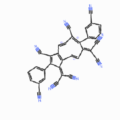 N#CC(C#N)=C1C2=C(/C=C/C(C#N)=C(/c3cccc(C#N)c3)C(=C(C#N)C#N)/C=C/2)C(C#N)=C1c1cccc(C#N)c1